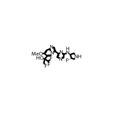 COc1cc2ncc(-c3cncc(N[C@H]4CNC[C@@H]4F)n3)n2cc1C(O)(CF)C(F)F